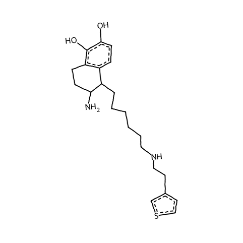 NC1CCc2c(ccc(O)c2O)C1CCCCCCNCCc1ccsc1